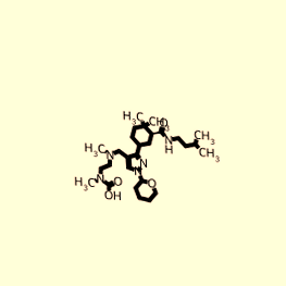 CC(C)CCNC(=O)[C@H]1CC(c2nn(C3CCCCO3)cc2CN(C)CCN(C)C(=O)O)CCC1(C)C